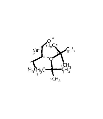 CC(C)(C)OC(C)(C)C.CCCC[O-].[Na+]